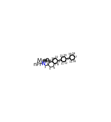 CCCN(CCC)CC1CCc2cc(-c3ccc(-c4ccccc4)cc3)ccc2C1OC